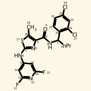 CCCC(NC(=O)c1nc(Nc2cc(F)nc(F)c2)sc1C)c1ccc(Cl)cc1Cl